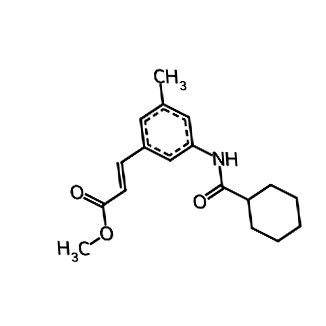 COC(=O)/C=C/c1cc(C)cc(NC(=O)C2CCCCC2)c1